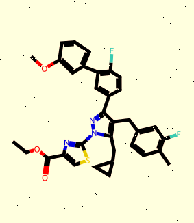 CCOC(=O)c1csc(-n2nc(-c3ccc(F)c(-c4cccc(OC)c4)c3)c(Cc3ccc(C)c(F)c3)c2CC2CC2)n1